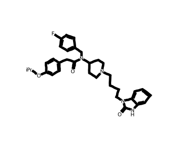 CC(C)Oc1ccc(CC(=O)N(Cc2ccc(F)cc2)C2CCN(CCCCn3c(=O)[nH]c4ccccc43)CC2)cc1